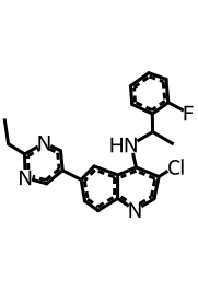 CCc1ncc(-c2ccc3ncc(Cl)c(NC(C)c4ccccc4F)c3c2)cn1